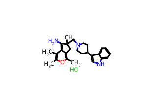 CC1=C(C)C2=C(N)C(C)(CN3CCC(c4c[nH]c5ccccc45)CC3)CC2=C(C)O1.Cl